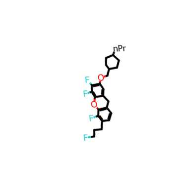 CCCC1CCC(COc2cc3c(c(F)c2F)Oc2c(ccc(CCCF)c2F)C3)CC1